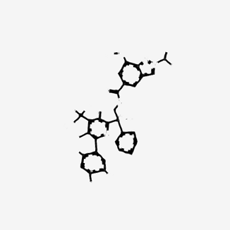 COc1cc(C(=O)NC[C@@](O)(c2ccccc2)c2nc(-c3cc(Cl)c(F)cc3F)c(F)c(C(C)(C)O)c2F)cc2cn(C(F)F)nc12